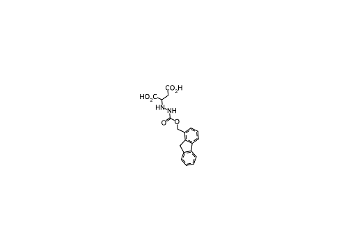 O=C(O)CC(NNC(=O)OCc1cccc2c1Cc1ccccc1-2)C(=O)O